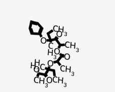 CCC(C)(OC(C)C(=O)OC(C)C(=O)C(C)(CC)Oc1ccccc1)C(=O)C(C)O